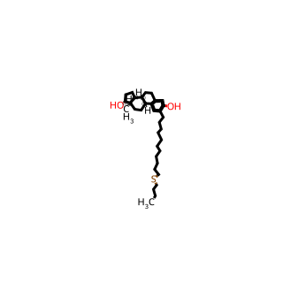 CCCCSCCCCCCCCCCCc1cc2c(cc1O)CC[C@@H]1[C@@H]2CC[C@]2(C)[C@@H](O)CC[C@@H]12